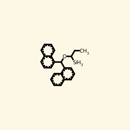 CCC([SiH3])OC(c1cccc2ccccc12)c1cccc2ccccc12